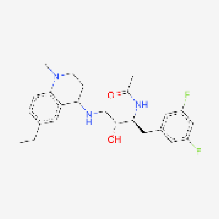 CCc1ccc2c(c1)C(NC[C@@H](O)[C@H](Cc1cc(F)cc(F)c1)NC(C)=O)CCN2C